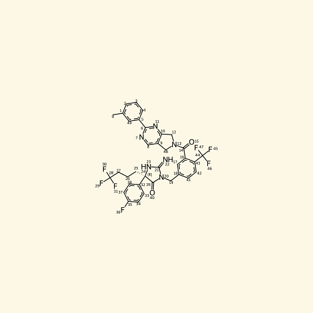 Cc1cccc(-c2ncc3c(n2)CN(C(=O)c2cc(CN4C(=N)N[C@](CCCC(F)(F)F)(c5ccc(F)cc5)C4=O)ccc2C(F)(F)F)C3)c1